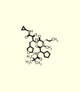 CCC[C@@H](C(=O)N[C@@H](CC1CCOC1)C(=O)C(=O)NC1CC1)N(C)C(=O)[C@H](NC(=O)C(C)(C)C)C1CCCC1